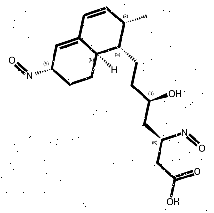 C[C@H]1C=CC2=C[C@@H](N=O)CC[C@@H]2[C@H]1CC[C@@H](O)C[C@H](CC(=O)O)N=O